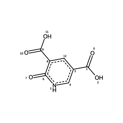 O=C(O)c1c[nH]c(=O)c(C(=O)O)c1